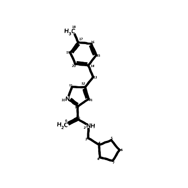 C=C(NCC1CCCC1)C1=NCC(Cc2ccc(C)cc2)=C1